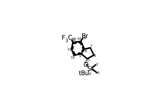 CC(C)(C)[Si](C)(C)O[C@H]1CCc2c1ccc(C(F)(F)F)c2Br